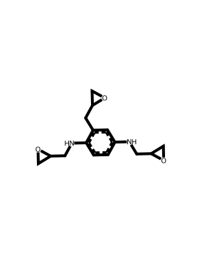 c1cc(NCC2CO2)c(CC2CO2)cc1NCC1CO1